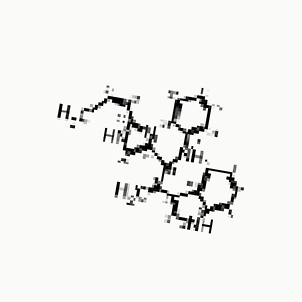 C=C(c1c[nH]c2ccccc12)C(Nc1ccccc1)c1c[nH]c(/C=C\C)n1